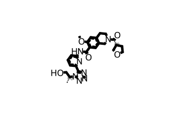 COc1cc2c(cc1C(=O)Nc1cccc(-c3nnnn3[C@H](C)CO)n1)CN(C(=O)[C@@H]1CCOC1)CC2